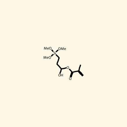 C=C(C)C(=O)OC(O)CC[Si](OC)(OC)OC